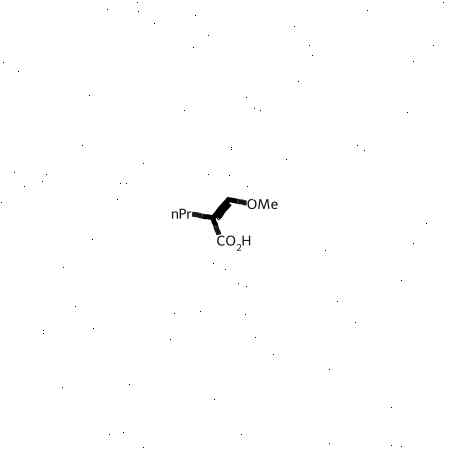 CCCC(=COC)C(=O)O